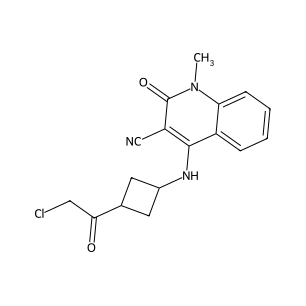 Cn1c(=O)c(C#N)c(NC2CC(C(=O)CCl)C2)c2ccccc21